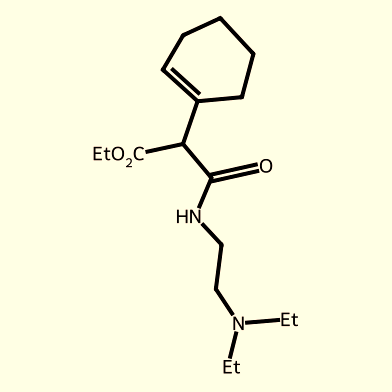 CCOC(=O)C(C(=O)NCCN(CC)CC)C1=CCCCC1